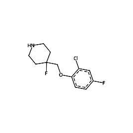 Fc1ccc(OCC2(F)CCNCC2)c(Cl)c1